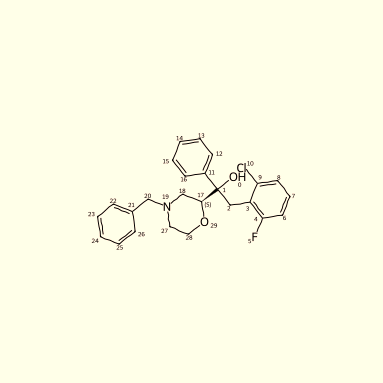 OC(Cc1c(F)cccc1Cl)(c1ccccc1)[C@@H]1CN(Cc2ccccc2)CCO1